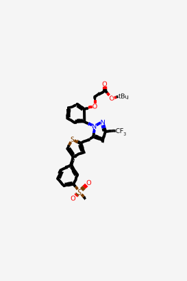 CC(C)(C)OC(=O)COc1ccccc1-n1nc(C(F)(F)F)cc1-c1cc(-c2cccc(S(C)(=O)=O)c2)cs1